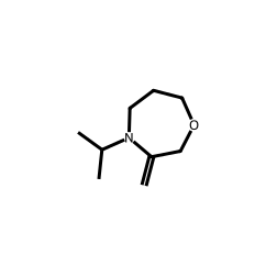 C=C1COCCCN1C(C)C